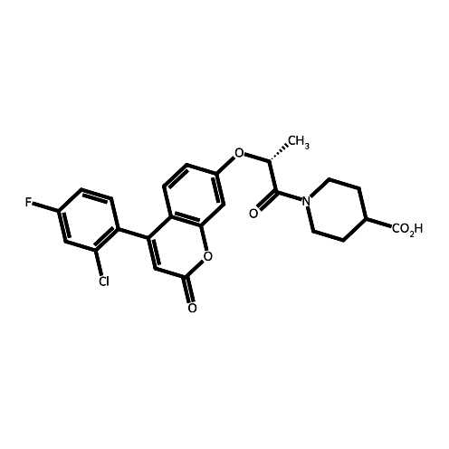 C[C@@H](Oc1ccc2c(-c3ccc(F)cc3Cl)cc(=O)oc2c1)C(=O)N1CCC(C(=O)O)CC1